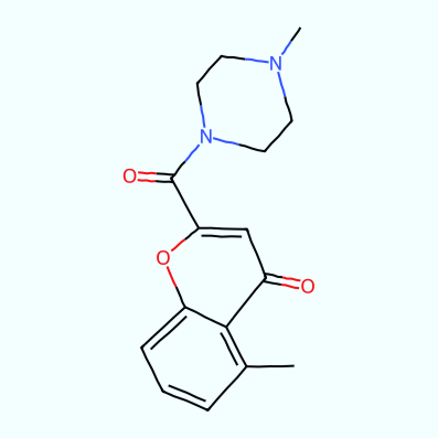 Cc1cccc2oc(C(=O)N3CCN(C)CC3)cc(=O)c12